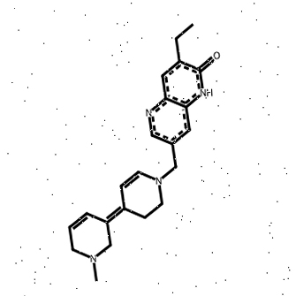 CCc1cc2ncc(CN3C=CC(=C4C=CCN(C)C4)CC3)cc2[nH]c1=O